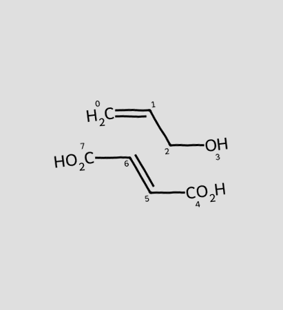 C=CCO.O=C(O)C=CC(=O)O